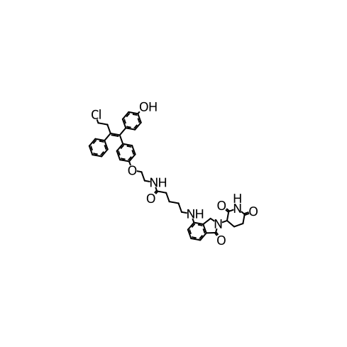 O=C(CCCCNc1cccc2c1CN(C1CCC(=O)NC1=O)C2=O)NCCOc1ccc(C(=C(CCCl)c2ccccc2)c2ccc(O)cc2)cc1